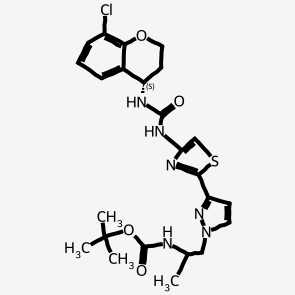 CC(Cn1ccc(-c2nc(NC(=O)N[C@H]3CCOc4c(Cl)cccc43)cs2)n1)NC(=O)OC(C)(C)C